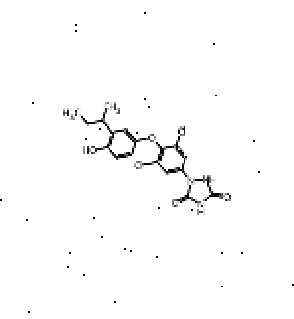 CCC(C)c1cc(Oc2c(Cl)cc(-n3[nH]c(=O)[nH]c3=O)cc2Cl)ccc1O